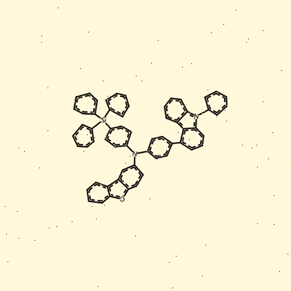 c1ccc(-n2c3ccccc3c3c(-c4ccc(N(c5ccc([Si](c6ccccc6)(c6ccccc6)c6ccccc6)cc5)c5ccc6oc7ccccc7c6c5)cc4)cccc32)cc1